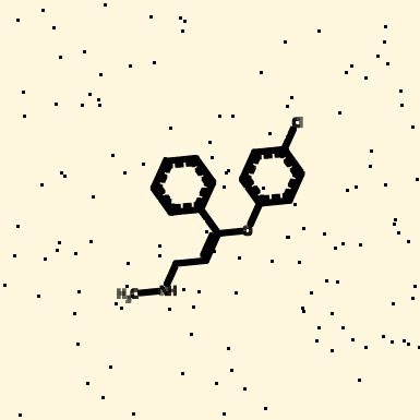 CNCC=C(Oc1ccc(Cl)cc1)c1ccccc1